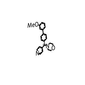 COc1cccc(-c2ccc([C@H](c3ccncc3)N3CCOCC3)cc2)c1